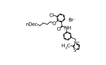 CCCCCCCCCCCCCCOc1c(Cl)cccc1C(=O)Nc1cccc(C[n+]2ccsc2C)c1.[Br-]